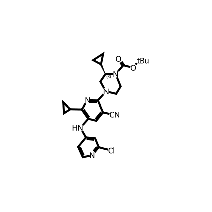 CC(C)(C)OC(=O)N1CCN(c2nc(C3CC3)c(Nc3ccnc(Cl)c3)cc2C#N)C[C@H]1C1CC1